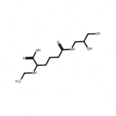 CCNC(CCCC(=O)NCC(O)CO)C(=O)O